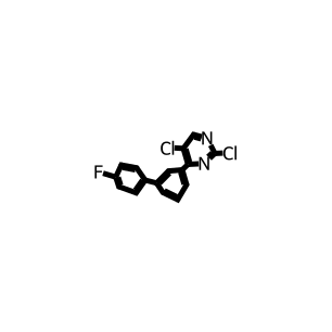 Fc1ccc(-c2cccc(-c3nc(Cl)ncc3Cl)c2)cc1